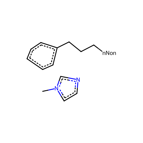 CCCCCCCCCCCCc1ccccc1.Cn1ccnc1